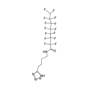 O=C(NCCCCc1nnn[nH]1)C(F)(F)C(F)(F)C(F)(F)C(F)(F)C(F)(F)C(F)(F)C(F)F